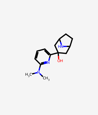 CN(C)c1cccc(C2(O)CC3CCC(C2)N3)n1